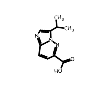 CC(C)c1cnc2ccc(C(=O)O)nn12